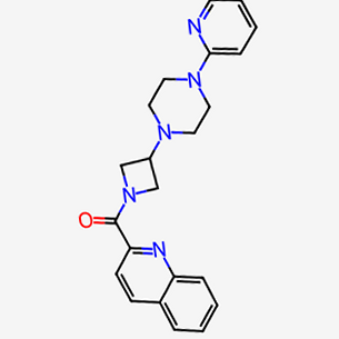 O=C(c1ccc2ccccc2n1)N1CC(N2CCN(c3ccccn3)CC2)C1